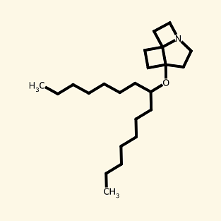 CCCCCCCC(CCCCCCC)OC12CCN3CCC31CC2